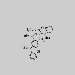 CCCC(c1cc(C(c2ccccc2)C(C)(C)C)c(O)cc1C)c1cc(C(c2ccccc2)C(C)(C)C)c(O)cc1C